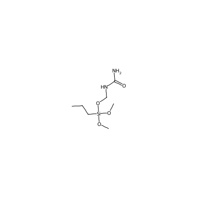 CCC[Si](OC)(OC)OCNC(N)=O